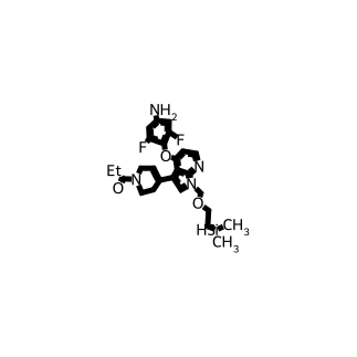 CCC(=O)N1CC=C(c2cn(COCC[SiH](C)C)c3nccc(Oc4c(F)cc(N)cc4F)c23)CC1